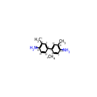 C.Cc1cc(-c2ccc(N)c(C)c2)ccc1N